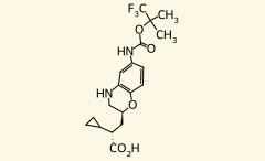 CC(C)(OC(=O)Nc1ccc2c(c1)NC[C@H](C[C@H](C(=O)O)C1CC1)O2)C(F)(F)F